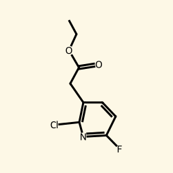 CCOC(=O)Cc1ccc(F)nc1Cl